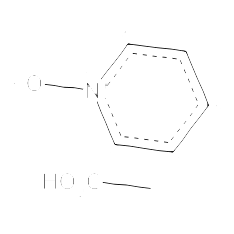 CC(=O)O.[O-][n+]1ccccc1